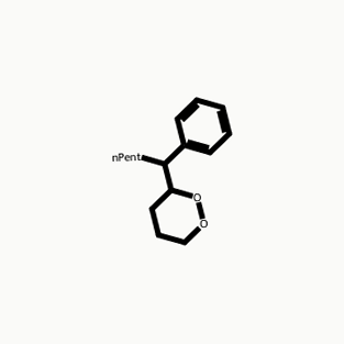 CCCCCC(c1ccccc1)C1CCCOO1